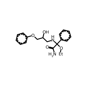 CCOC(NCC(O)COc1ccccc1)(C(N)=O)c1ccccc1